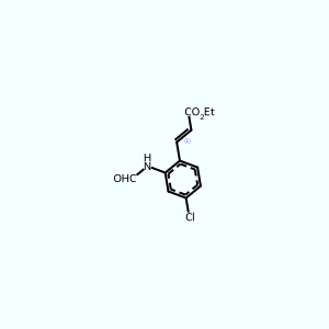 CCOC(=O)/C=C/c1ccc(Cl)cc1NC=O